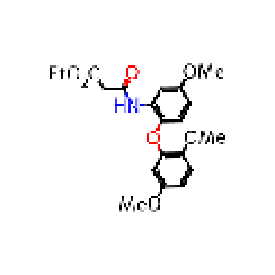 CCOC(=O)CC(=O)Nc1cc(OC)ccc1Oc1cc(OC)ccc1OC